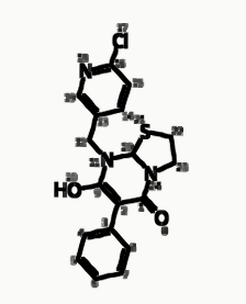 O=C1C(c2ccccc2)=C(O)N(Cc2ccc(Cl)nc2)C2SCCN12